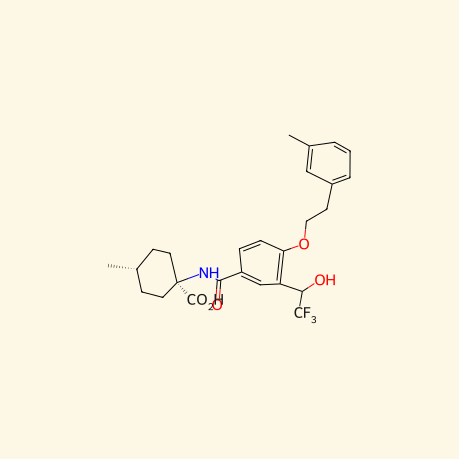 Cc1cccc(CCOc2ccc(C(=O)N[C@]3(C(=O)O)CC[C@@H](C)CC3)cc2C(O)C(F)(F)F)c1